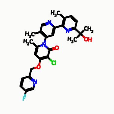 Cc1cnc(-c2nc(C(C)(C)O)ccc2C)cc1-n1c(C)cc(OCc2ccc(F)cn2)c(Cl)c1=O